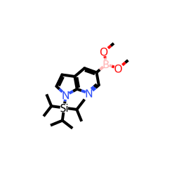 COB(OC)c1cnc2c(ccn2[Si](C(C)C)(C(C)C)C(C)C)c1